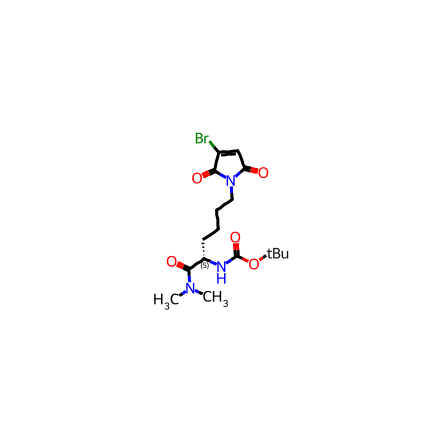 CN(C)C(=O)[C@H](CCCCN1C(=O)C=C(Br)C1=O)NC(=O)OC(C)(C)C